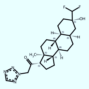 C[C@]12CC[C@H]3[C@@H](CC[C@@H]4C[C@](O)(C(F)F)CC[C@@H]43)[C@@H]1CC[C@@H]2C(=O)Cn1ncnn1